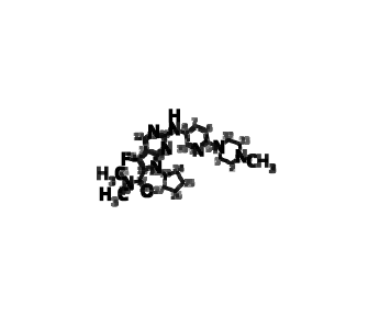 CN1CCN(c2ccc(Nc3ncc4c(F)c(C(=O)N(C)C)n(C5CCCC5)c4n3)cn2)CC1